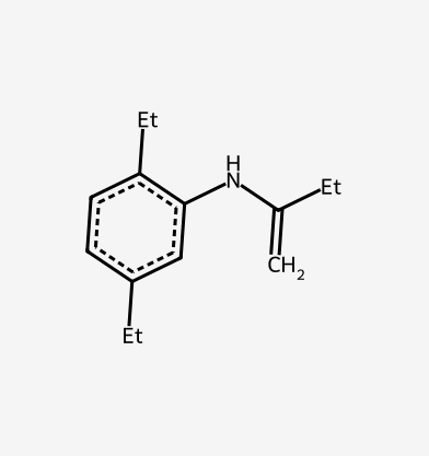 C=C(CC)Nc1cc(CC)ccc1CC